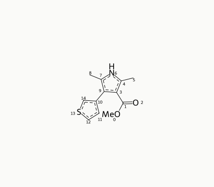 COC(=O)c1c(C)[nH]c(C)c1-c1ccsc1